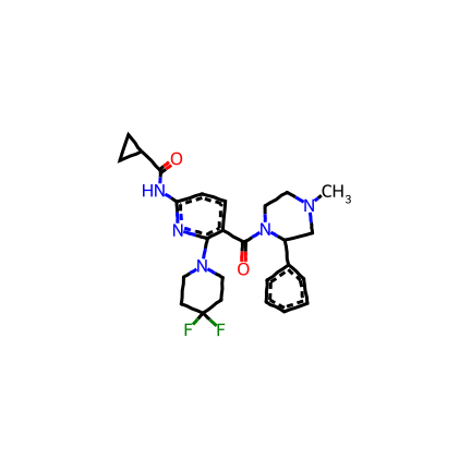 CN1CCN(C(=O)c2ccc(NC(=O)C3CC3)nc2N2CCC(F)(F)CC2)C(c2ccccc2)C1